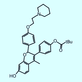 CC1=C(c2ccc(OC(=O)C(C)(C)C)cc2)C(c2ccc(OCCN3CCCCC3)cc2)Oc2cc(O)ccc21